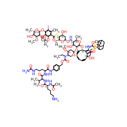 CCN(C(=O)OCc1ccc(NC(=O)[C@H](CCCNC(N)=O)NC(=O)[C@@H](NC(=O)[C@H](CCCCN)NC(C)=O)C(C)C)cc1)[C@H]1CO[C@@H](O[C@H]2[C@H](O[C@H]3C#CC=CC#C[C@]4(O)CC(=O)C(NC(=O)OC)=C3/C4=C\CSSC34CC5CC(CC(C5)C3)C4)O[C@H](C)[C@@H](NO[C@H]3C[C@H](O)[C@H](SC(=O)c4c(C)c(I)c(O[C@@H]5O[C@@H](C)[C@H](O)[C@@H](OC)[C@H]5O)c(OC)c4OC)[C@@H](C)O3)[C@@H]2O)C[C@@H]1OC